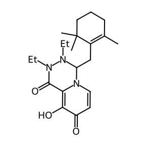 CCN1C(=O)c2c(O)c(=O)ccn2C(CC2=C(C)CCCC2(C)C)N1CC